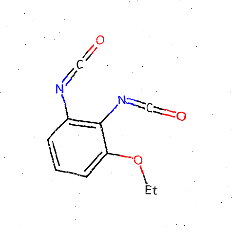 CCOc1cccc(N=C=O)c1N=C=O